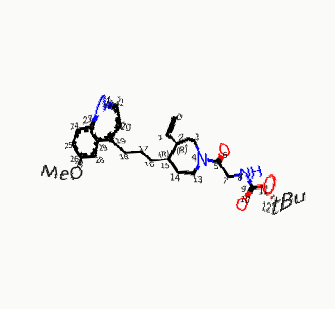 C=C[C@H]1CN(C(=O)CNC(=O)OC(C)(C)C)CC[C@H]1CCCc1ccnc2ccc(OC)cc12